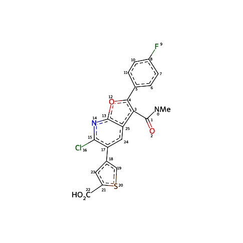 CNC(=O)c1c(-c2ccc(F)cc2)oc2nc(Cl)c(-c3csc(C(=O)O)c3)cc12